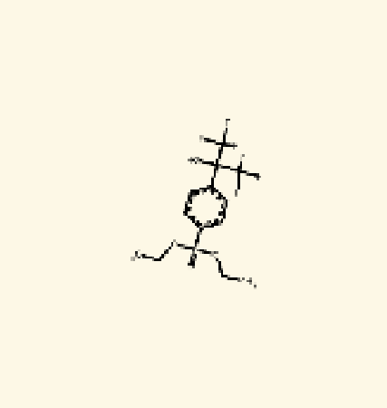 CCOP(=O)(OCC)c1ccc(C(O)(C(F)(F)F)C(F)(F)F)cc1